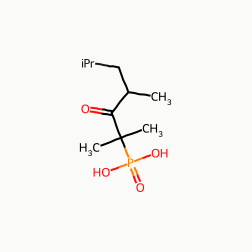 CC(C)CC(C)C(=O)C(C)(C)P(=O)(O)O